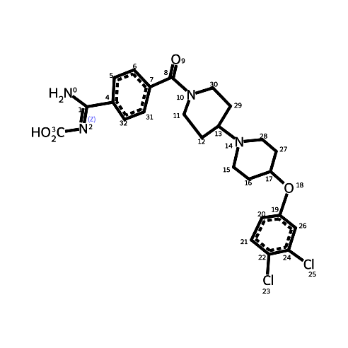 N/C(=N\C(=O)O)c1ccc(C(=O)N2CCC(N3CCC(Oc4ccc(Cl)c(Cl)c4)CC3)CC2)cc1